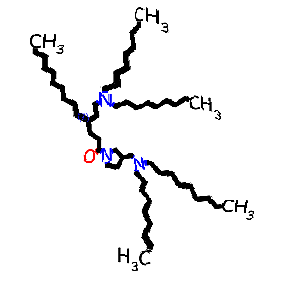 CCCCCCCCC/C=C(/CCC(=O)N1CCC(CN(CCCCCCCCC)CCCCCCCCC)C1)CCN(CCCCCCCCC)CCCCCCCCC